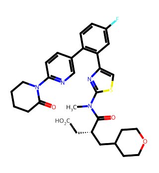 CN(C(=O)[C@@H](CC(=O)O)CC1CCOCC1)c1nc(-c2cc(F)ccc2-c2ccc(N3CCCCC3=O)nc2)cs1